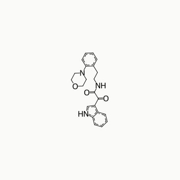 O=C(NCCc1ccccc1N1CCOCC1)C(=O)c1c[nH]c2ccccc12